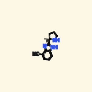 C[C@]1(c2nc3c(C#N)cccc3[nH]2)CCCN1